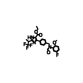 CCOC(=O)c1[nH]c(C(C)C(F)(F)F)nc1-c1ccc(CN(C=O)c2cc(F)ccc2OC)cc1